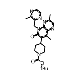 Cc1cnc2c(C)c(C3CCN(C(=O)OC(C)(C)C)CC3)c(=O)n(Cc3nccnc3C)c2n1